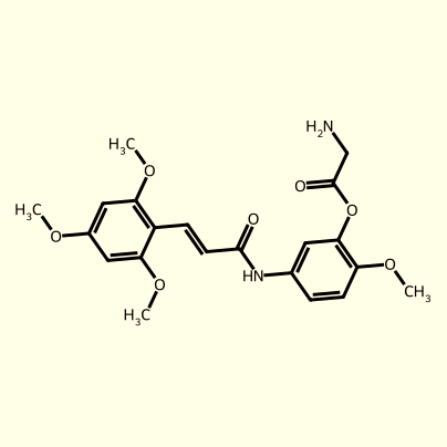 COc1cc(OC)c(/C=C/C(=O)Nc2ccc(OC)c(OC(=O)CN)c2)c(OC)c1